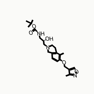 Cc1nocc1COc1ccc2c(c1C)CCN(C[C@@H](O)CNC(=O)OC(C)(C)C)C2